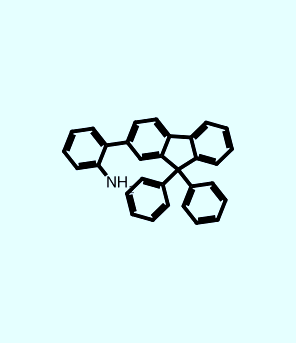 Nc1ccccc1-c1ccc2c(c1)C(c1ccccc1)(c1ccccc1)c1ccccc1-2